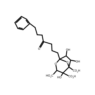 O=C(CCCc1ccccc1)CCCC12OC(C(=O)O)C(O)(C(=O)O)C(C(=O)O)(O1)C(O)C2O